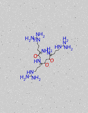 NC(N)NCCC[C@H](NCC(=O)[C@@H](N)CCCNC(N)N)C(=O)CC(=O)[C@@H](N)CCCNC(N)N